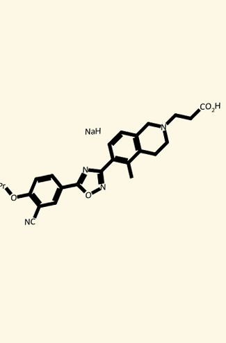 Cc1c(-c2noc(-c3ccc(OC(C)C)c(C#N)c3)n2)ccc2c1CCN(CCC(=O)O)C2.[NaH]